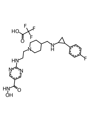 O=C(NO)c1cnc(NCCN2CCC(CNC3CC3c3ccc(F)cc3)CC2)nc1.O=C(O)C(F)(F)F